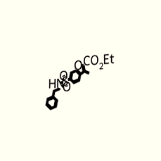 CCOC(=O)c1oc2cc(S(=O)(=O)NCCc3ccccc3)ccc2c1C